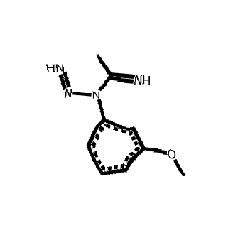 COc1cccc(N(N=N)C(C)=N)c1